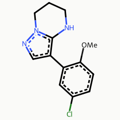 COc1ccc(Cl)cc1-c1cnn2c1NCCC2